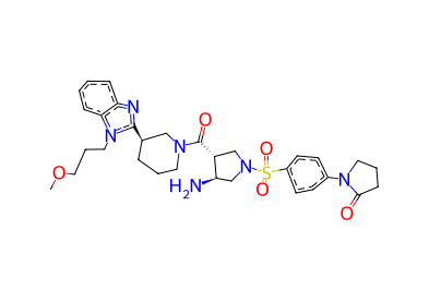 COCCCn1c([C@@H]2CCCN(C(=O)[C@@H]3CN(S(=O)(=O)c4ccc(N5CCCC5=O)cc4)C[C@H]3N)C2)nc2ccccc21